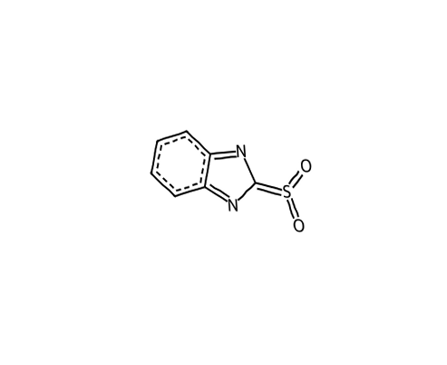 O=S(=O)=C1N=c2ccccc2=N1